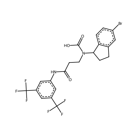 O=C(CCN(C(=O)O)C1CCc2cc(Br)ccc21)Nc1cc(C(F)(F)F)cc(C(F)(F)F)c1